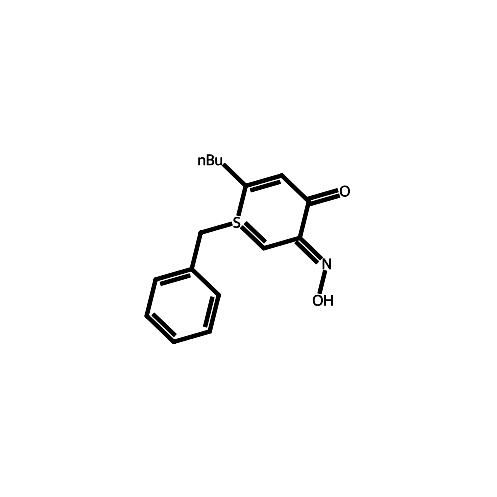 CCCCC1=CC(=O)C(=NO)C=S1Cc1ccccc1